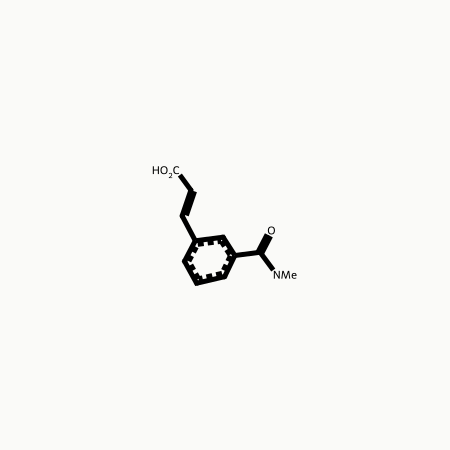 CNC(=O)c1cccc(C=CC(=O)O)c1